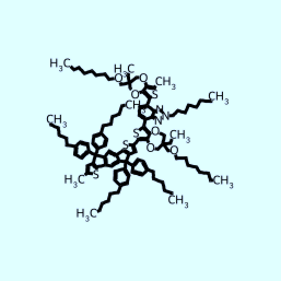 CCCCCCCCOCC1(CC)COc2c(C)sc(-c3ccc(-c4sc(-c5cc6c(s5)-c5cc7c(cc5C6(c5ccc(CCCCCC)cc5)c5ccc(CCCCCC)cc5)-c5sc(C)cc5C7(c5ccc(CCCCCC)cc5)c5ccc(CCCCCC)cc5)c5c4OCC(CC)(COCCCCCCCC)CO5)c4nn(CCCCCCCC)nc34)c2OC1